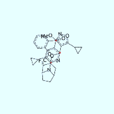 COC(=O)c1cnc(N2C3CCC2CC(OCc2c(-c4ccccc4OC(F)(F)F)noc2C2CC2)C3)c(C2CC2)c1